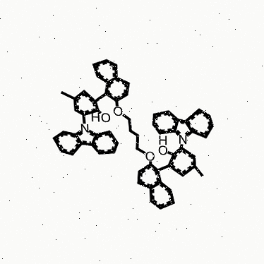 Cc1cc(-c2c(OCCCCOc3ccc4ccccc4c3-c3cc(C)cc(-n4c5ccccc5c5ccccc54)c3O)ccc3ccccc23)c(O)c(-n2c3ccccc3c3ccccc32)c1